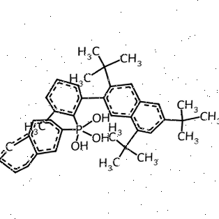 Cc1cccc(-c2cc3c(C(C)(C)C)cc(C(C)(C)C)cc3cc2C(C)(C)C)c1P(O)(O)(O)c1ccc2ccccc2c1